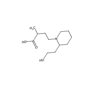 CC(CCN1CCCCC1CCO)C(=O)O